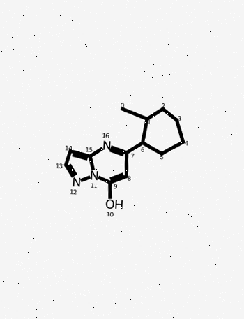 CC1CCCCC1c1cc(O)n2nccc2n1